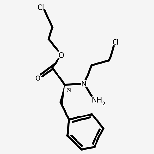 NN(CCCl)[C@@H](Cc1ccccc1)C(=O)OCCCl